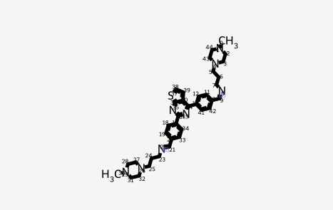 CN1CCN(CCC/N=C\c2ccc(-c3nc(-c4ccc(/C=N/CCCN5CCN(C)CC5)cc4)nc4sccc34)cc2)CC1